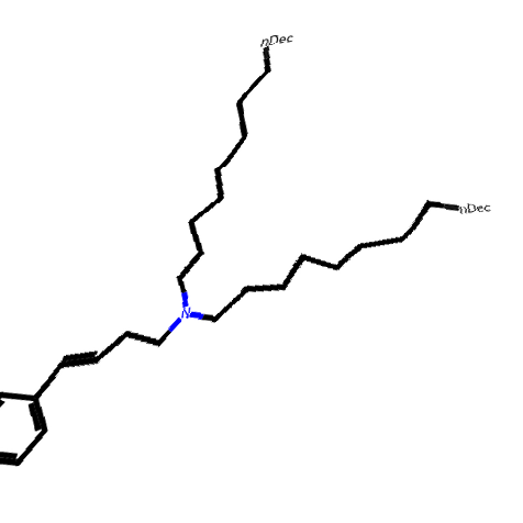 CCCCCCCCCCCCCCCCCCN(CCC=Cc1ccccc1)CCCCCCCCCCCCCCCCCC